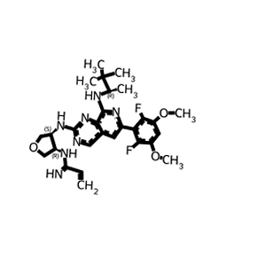 C=CC(=N)N[C@H]1COC[C@H]1Nc1ncc2cc(-c3c(F)c(OC)cc(OC)c3F)nc(N[C@H](C)C(C)(C)C)c2n1